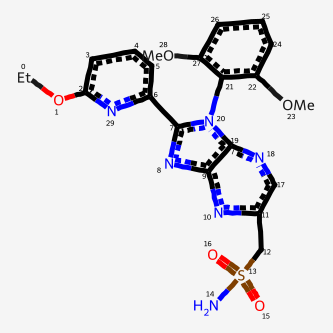 CCOc1cccc(-c2nc3nc(CS(N)(=O)=O)cnc3n2-c2c(OC)cccc2OC)n1